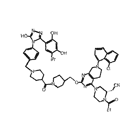 CCC(=O)N1CCN(c2nc(OCC3CCN(C(=O)C4CCN(Cc5ccc(-n6c(O)nnc6-c6cc(C(C)C)c(O)cc6O)cc5)CC4)CC3)nc3c2CCN(c2cccc4cccc(Cl)c24)C3)C[C@@H]1CC#N